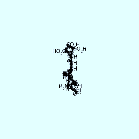 CCC(=O)NCCNC(=O)/N=C(/N)NCCC[C@@H](NC(=O)[C@@H](c1ccccc1)c1ccc(NCCCNC(=O)CCNC(=O)CN2CCN(CC(=O)O)CCN(CC(=O)O)CCN(CC(=O)O)CC2)cc1)C(=O)NCc1ccc(O)cc1